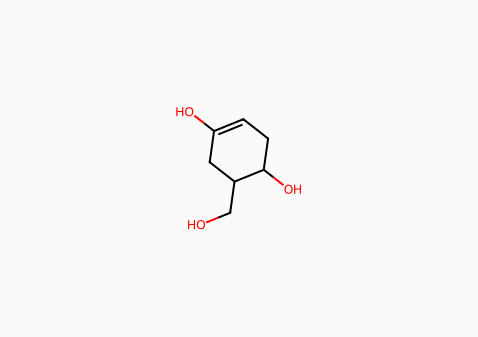 OCC1CC(O)=CCC1O